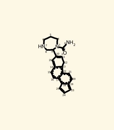 NC(=O)N1CCCNCC1C1=CCc2c(ccc3c4c(ccc23)=CC=C4)=C1